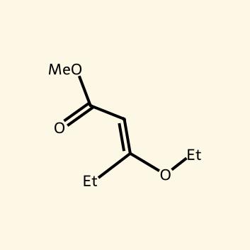 CCOC(=CC(=O)OC)CC